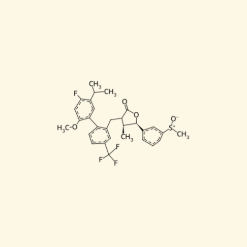 COc1cc(F)c(C(C)C)cc1-c1ccc(C(F)(F)F)cc1CC1C(=O)O[C@@H](c2cccc([S+](C)[O-])c2)[C@H]1C